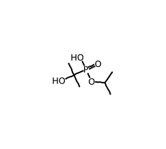 CC(C)OP(=O)(O)C(C)(C)O